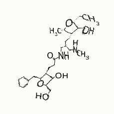 CC[C@H]1O[C@@H](C)[C@@H](CCC(CNC)CNC(=O)CC[C@H]2C(O)[C@@H](CO)O[C@H]2Cc2ccccc2)C1O